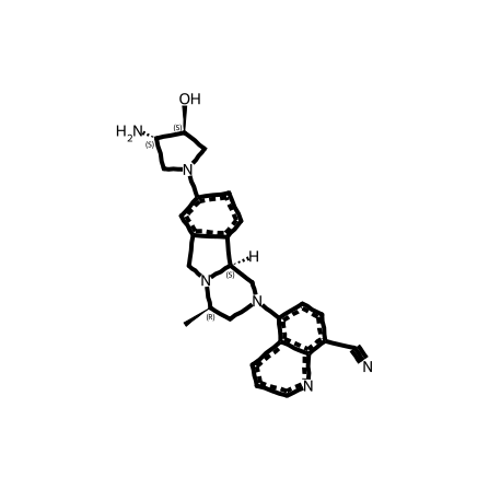 C[C@@H]1CN(c2ccc(C#N)c3ncccc23)C[C@@H]2c3ccc(N4C[C@H](N)[C@@H](O)C4)cc3CN12